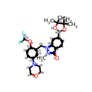 Cn1c(=O)c2ccc(B3OC(C)(C)C(C)(C)O3)cc2n1Cc1cc(N2CCOCC2)ccc1OC(F)F